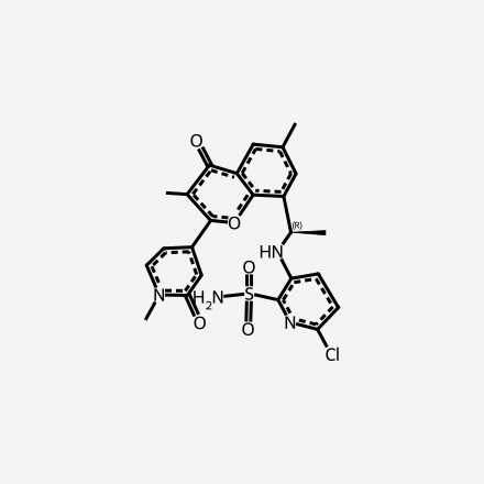 Cc1cc([C@@H](C)Nc2ccc(Cl)nc2S(N)(=O)=O)c2oc(-c3ccn(C)c(=O)c3)c(C)c(=O)c2c1